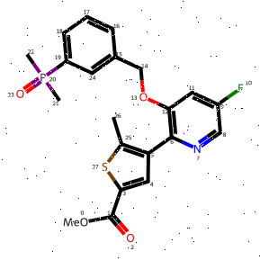 COC(=O)c1cc(-c2ncc(F)cc2OCc2cccc(P(C)(C)=O)c2)c(C)s1